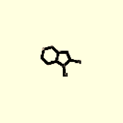 CCC1CC2CSCCC2N1CC